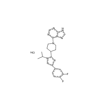 CC(C)n1cc(-c2ccc(F)c(F)c2)nc1C1CCN(c2ncnc3[nH]cnc23)CC1.Cl